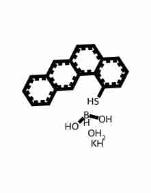 O.OBO.Sc1cccc2ccc3cc4ccccc4cc3c12.[KH]